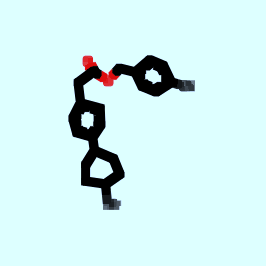 CCCC1CCC(c2ccc(CC(=O)OCc3ccc(C#N)cc3)cc2)CC1